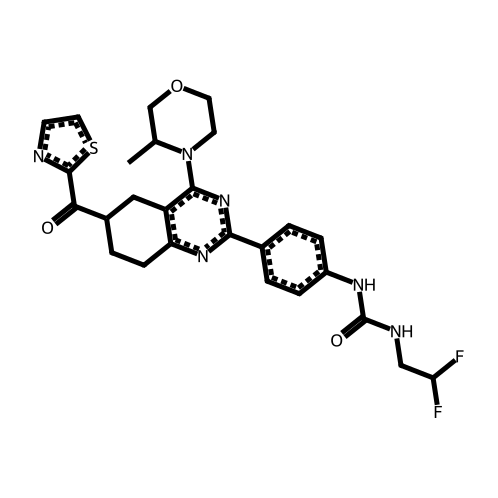 CC1COCCN1c1nc(-c2ccc(NC(=O)NCC(F)F)cc2)nc2c1CC(C(=O)c1nccs1)CC2